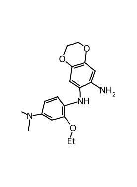 CCOc1cc(N(C)C)ccc1Nc1cc2c(cc1N)OCCO2